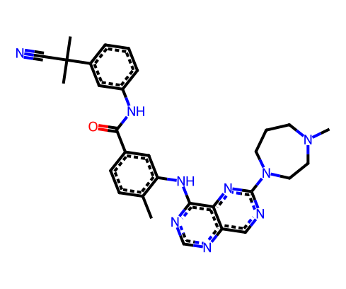 Cc1ccc(C(=O)Nc2cccc(C(C)(C)C#N)c2)cc1Nc1ncnc2cnc(N3CCCN(C)CC3)nc12